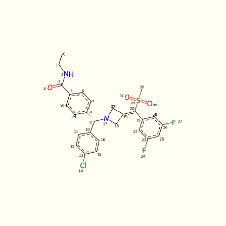 CCNC(=O)c1ccc([C@@H](c2ccc(Cl)cc2)N2CC(=C(c3cc(F)cc(F)c3)S(C)(=O)=O)C2)cc1